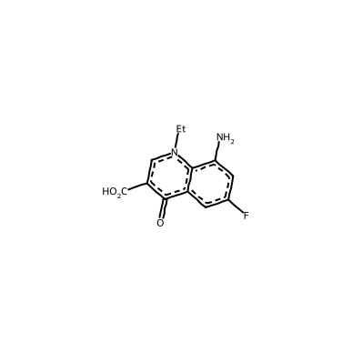 CCn1cc(C(=O)O)c(=O)c2cc(F)cc(N)c21